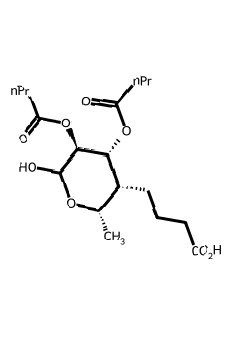 CCCC(=O)O[C@@H]1[C@H](CCCC(=O)O)[C@H](C)OC(O)[C@H]1OC(=O)CCC